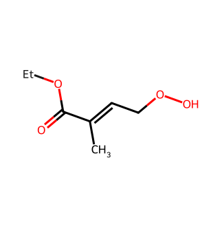 CCOC(=O)C(C)=CCOO